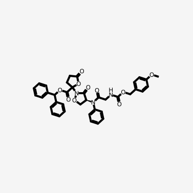 COc1ccc(COC(=O)NCC(=O)N(c2ccccc2)[C@H]2CON(C3(C(=O)OC(c4ccccc4)c4ccccc4)CCC(=O)O3)C2=O)cc1